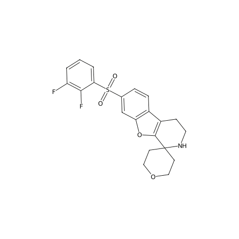 O=S(=O)(c1ccc2c3c(oc2c1)C1(CCOCC1)NCC3)c1cccc(F)c1F